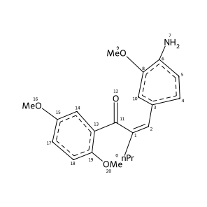 CCCC(=Cc1ccc(N)c(OC)c1)C(=O)c1cc(OC)ccc1OC